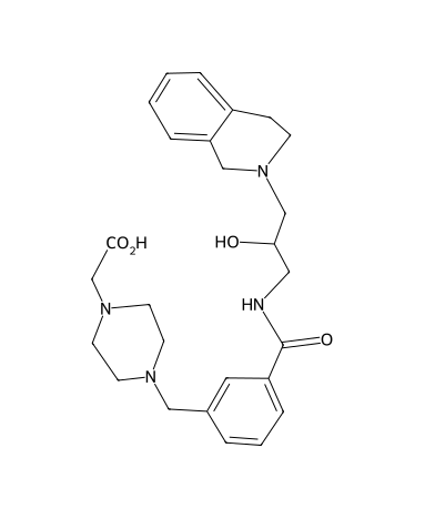 O=C(O)CN1CCN(Cc2cccc(C(=O)NCC(O)CN3CCc4ccccc4C3)c2)CC1